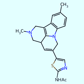 CC(=O)Nc1ncc(C2=CC3CN(C)Cc4c3n(c3ccc(C)cc43)C2)s1